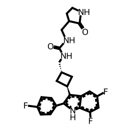 O=C(NCC1CCNC1=O)NC[C@H]1C[C@H](c2c(-c3ccc(F)cc3)[nH]c3c(F)cc(F)cc32)C1